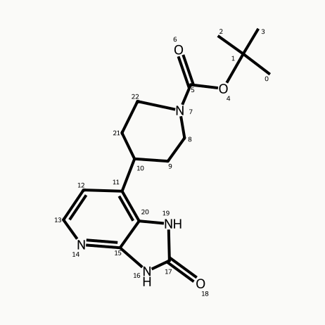 CC(C)(C)OC(=O)N1CCC(c2ccnc3[nH]c(=O)[nH]c23)CC1